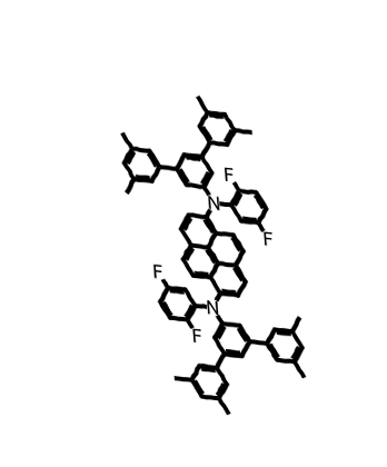 Cc1cc(C)cc(-c2cc(-c3cc(C)cc(C)c3)cc(N(c3cc(F)ccc3F)c3ccc4ccc5c(N(c6cc(-c7cc(C)cc(C)c7)cc(-c7cc(C)cc(C)c7)c6)c6cc(F)ccc6F)ccc6ccc3c4c65)c2)c1